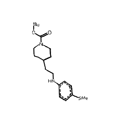 CSc1ccc(NCCC2CCN(C(=O)OC(C)(C)C)CC2)cc1